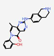 Cc1cn(-c2ccccc2O)c(=O)c2cnc(Nc3ccc4c(c3)CNCC4)nc12